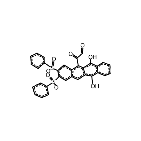 O=CC(=O)c1c2cc(S(=O)(=O)c3ccccc3)c(S(=O)(=O)c3ccccc3)cc2cc2c(O)c3ccccc3c(O)c12